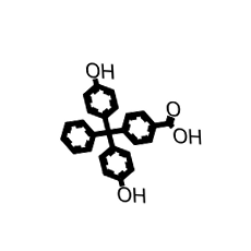 O=C(O)c1ccc(C(c2ccccc2)(c2ccc(O)cc2)c2ccc(O)cc2)cc1